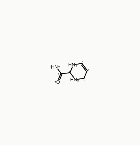 [NH]C(=O)C1NC=CCN1